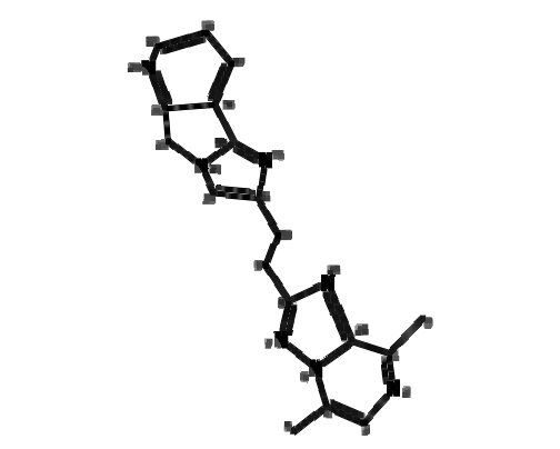 Cc1ncc(C)n2nc(CCc3cn4c(n3)-c3cccnc3C4)nc12